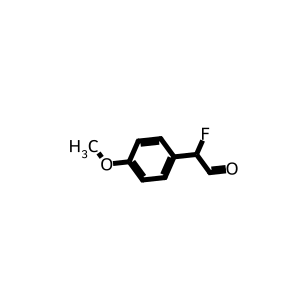 COc1ccc(C(F)C=O)cc1